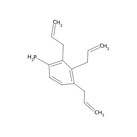 C=CCc1ccc(P)c(CC=C)c1CC=C